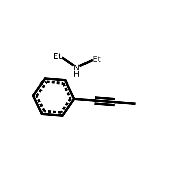 CC#Cc1ccccc1.CCNCC